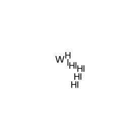 I.I.I.I.I.[W]